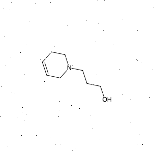 OCCCN1CC=CCC1